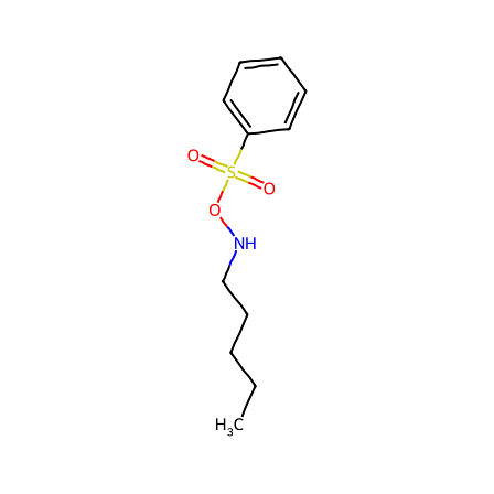 CCCCCNOS(=O)(=O)c1ccccc1